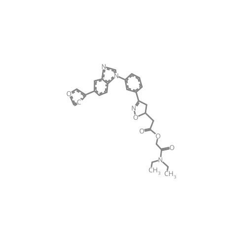 CCN(CC)C(=O)COC(=O)CC1CC(c2cccc(-n3cnc4cc(-c5ccoc5)ccc43)c2)=NO1